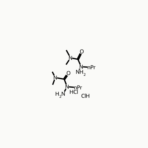 CCCN(N)C(=O)N(C)C.CCCN(N)C(=O)N(C)C.Cl.Cl